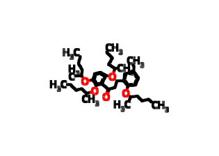 CCCCC(C)Oc1ccc(CC)cc1CCC(=O)c1c(OC(C)CCCC)ccc(OC(C)CCCC)c1OC(C)CCCC